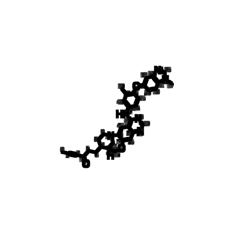 CC#CC(=O)CCC1CCN2C[C@H]1COc1cc3ncnc(Nc4ccc(Oc5ccc6c(c5)ncn6C)c(C)c4)c3cc12